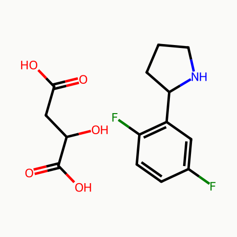 Fc1ccc(F)c(C2CCCN2)c1.O=C(O)CC(O)C(=O)O